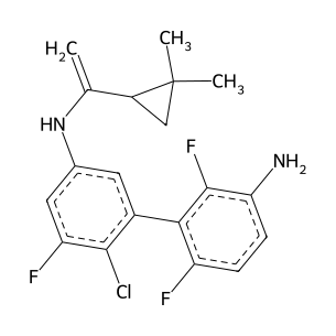 C=C(Nc1cc(F)c(Cl)c(-c2c(F)ccc(N)c2F)c1)C1CC1(C)C